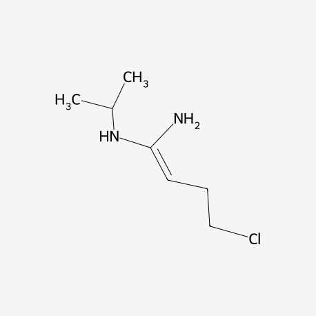 CC(C)N/C(N)=C/CCCl